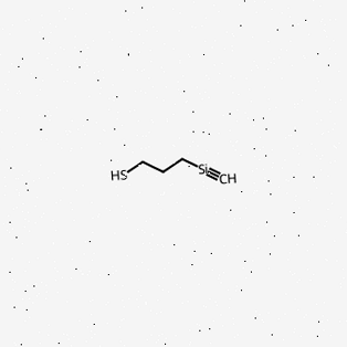 C#[Si]CCCS